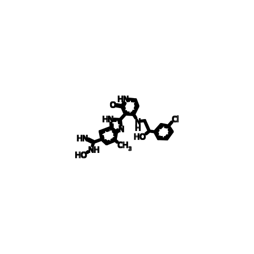 Cc1cc(C(=N)NO)cc2[nH]c(-c3c(NCC(O)c4cccc(Cl)c4)cc[nH]c3=O)nc12